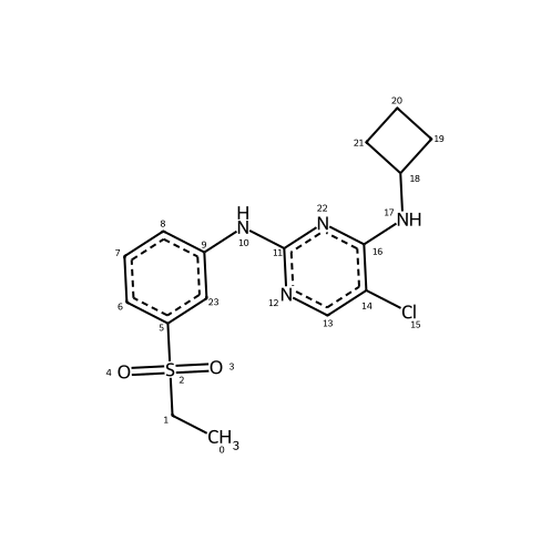 CCS(=O)(=O)c1cccc(Nc2ncc(Cl)c(NC3CCC3)n2)c1